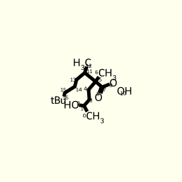 CC(O)CCC(C)(C(=O)OO)C(C)CCCC(C)(C)C